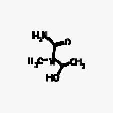 CC(O)[C@H](C)C(N)=O